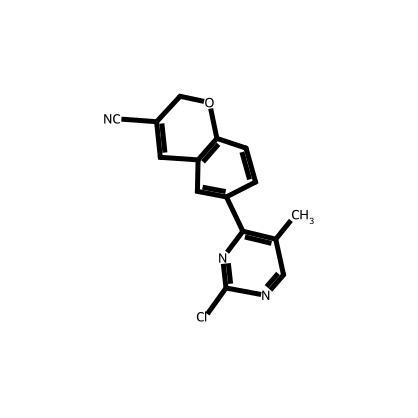 Cc1cnc(Cl)nc1-c1ccc2c(c1)C=C(C#N)CO2